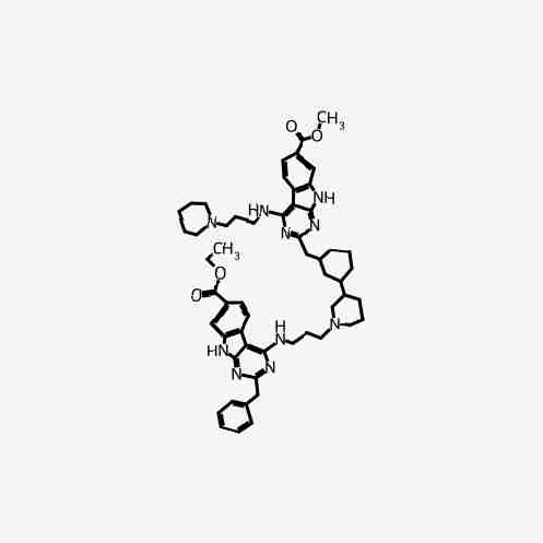 CCOC(=O)c1ccc2c(c1)[nH]c1nc(Cc3ccccc3)nc(NCCCN3CCCC(C4CCCC(Cc5nc(NCCCN6CCCCC6)c6c(n5)[nH]c5cc(C(=O)OC)ccc56)C4)C3)c12